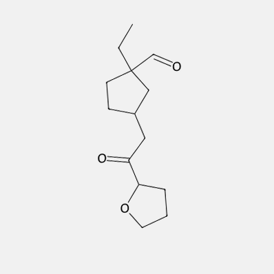 CCC1(C=O)CCC(CC(=O)C2CCCO2)C1